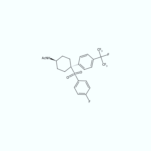 CC(=O)N[C@H]1CC[C@@](c2ccc(C(F)(C(F)(F)F)C(F)(F)F)cc2)(S(=O)(=O)c2ccc(F)cc2)CC1